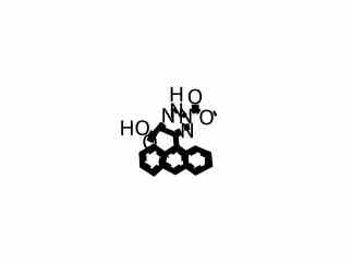 COC(=O)N1N=C(c2c3ccccc3cc3ccccc23)C(C(=O)O)=NN1